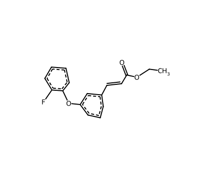 CCOC(=O)C=Cc1cccc(Oc2ccccc2F)c1